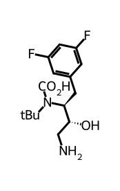 CC(C)(C)N(C(=O)O)[C@@H](Cc1cc(F)cc(F)c1)[C@H](O)CN